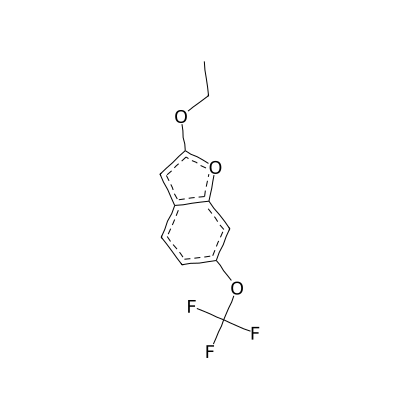 CCOc1cc2ccc(OC(F)(F)F)cc2o1